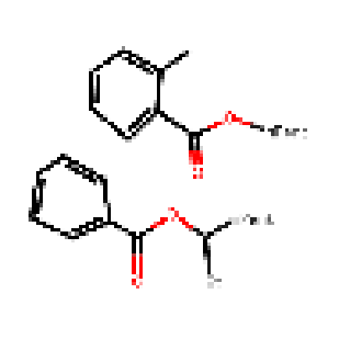 CCCCCC(CC)OC(=O)c1ccccc1.CCCCCOC(=O)c1ccccc1C